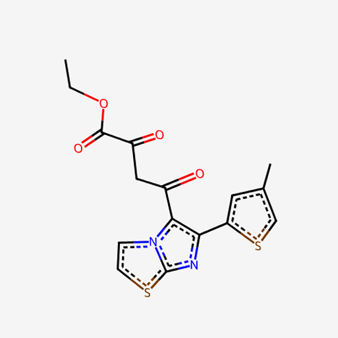 CCOC(=O)C(=O)CC(=O)c1c(-c2cc(C)cs2)nc2sccn12